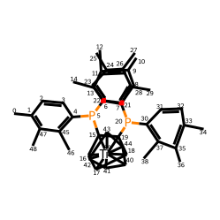 Cc1ccc(P(c2ccc(C)c(C)c2C)[C]23[CH]4[CH]5[CH]6[C]2(P(c2ccc(C)c(C)c2C)c2ccc(C)c(C)c2C)[Ti]54632789[CH]3[CH]2[CH]7[CH]8[CH]39)c(C)c1C